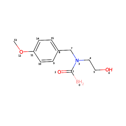 BC(=O)N(CCO)Cc1ccc(OC)cc1